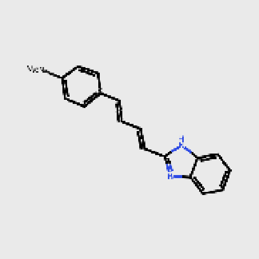 CNc1ccc(/C=C/C=C/c2nc3ccccc3[nH]2)cc1